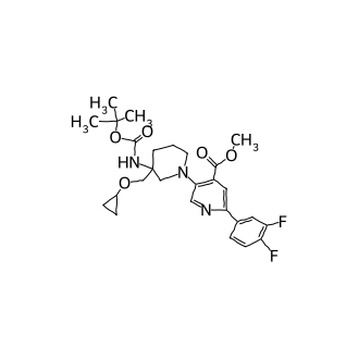 COC(=O)c1cc(-c2ccc(F)c(F)c2)ncc1N1CCCC(COC2CC2)(NC(=O)OC(C)(C)C)C1